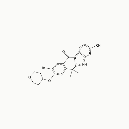 CC1(C)c2cc(OC3CCOCC3)c(Br)cc2C(=O)c2c1[nH]c1cc(C#N)ccc21